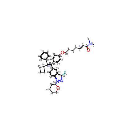 CN(C)C(=O)/C=C/CCCCOc1ccc(/C(=C(\c2ccccc2)C2CCC2)c2ccc3c(c2)c(F)nn3C2CCCCO2)cc1